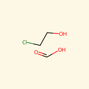 O=CO.OCCCl